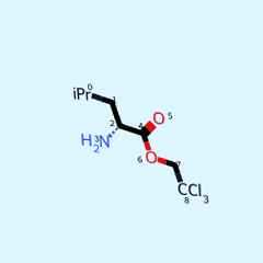 CC(C)C[C@@H](N)C(=O)OCC(Cl)(Cl)Cl